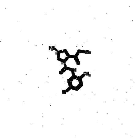 Cc1ccc(Br)nc1NC(=O)[C@@H]1C[C@H](C(F)(F)F)CN1C(=O)OC(C)(C)C